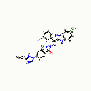 COc1ncn(-c2ccc(C(=O)NC[C@@H](c3cccc(F)c3)c3nc4ccc(Cl)cc4[nH]3)c(Cl)c2)n1